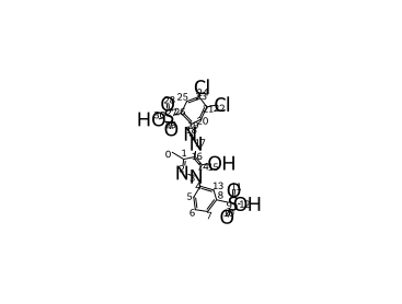 Cc1nn(-c2cccc(S(=O)(=O)O)c2)c(O)c1/N=N/c1cc(Cl)c(Cl)cc1S(=O)(=O)O